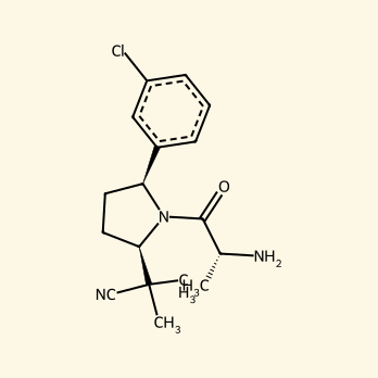 C[C@@H](N)C(=O)N1[C@H](c2cccc(Cl)c2)CC[C@@H]1C(C)(C)C#N